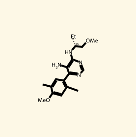 CC[C@H](COC)Nc1ncnc(-c2cc(C)c(OC)cc2C)c1N